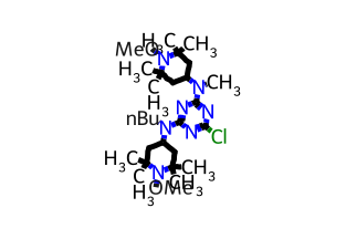 CCCCN(c1nc(Cl)nc(N(C)C2CC(C)(C)N(OC)C(C)(C)C2)n1)C1CC(C)(C)N(OC)C(C)(C)C1